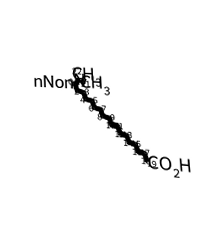 CCCCCCCCCC(CCCCCCCCC=CCCCCCCCC(=O)O)N(C)C